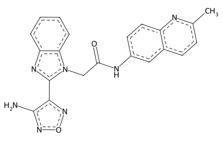 Cc1ccc2cc(NC(=O)Cn3c(-c4nonc4N)nc4ccccc43)ccc2n1